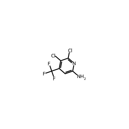 Nc1cc(C(F)(F)F)c(Cl)c(Cl)n1